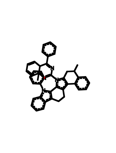 CC1Cc2c(c3c(n2C2=NC4(C)C=CC=CC4C(c4ccccc4)=N2)-c2c(c4ccccc4n2-c2ccccc2)CC3)-c2ccccc21